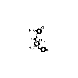 Cc1cc(Cl)ccc1OCC(=O)N1C[C@H](C)N(Cc2ccc(F)cc2)C[C@H]1C